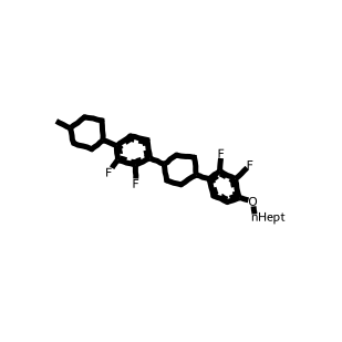 CCCCCCCOc1ccc(C2CCC(c3ccc(C4CCC(C)CC4)c(F)c3F)CC2)c(F)c1F